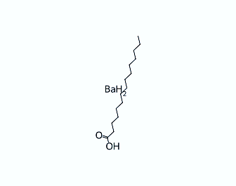 CCCCCCCCCCCCCCC(=O)O.[BaH2]